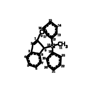 CC1=Cc2ccccc2[C]1[Si](C)(c1ccccc1)c1ccccc1